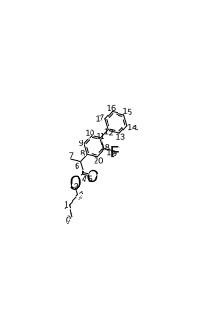 CCCOC(=O)C(C)c1ccc(-c2ccccc2)c(F)c1